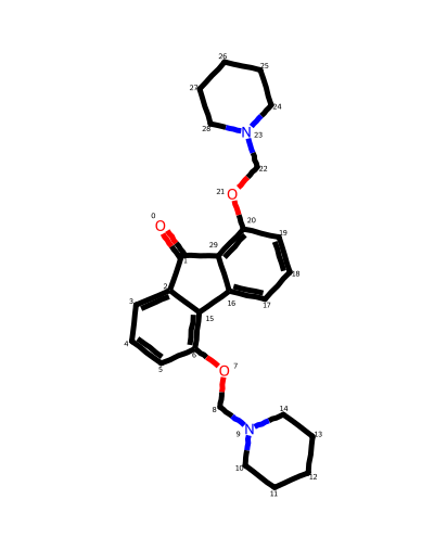 O=C1c2cccc(OCN3CCCCC3)c2-c2cccc(OCN3CCCCC3)c21